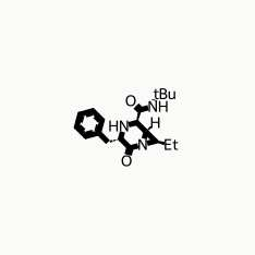 CC[C@@H]1[C@@H]2[C@H](C(=O)NC(C)(C)C)N[C@@H](Cc3ccccc3)C(=O)N21